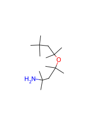 CC(C)(C)CC(C)(C)OC(C)(C)CC(C)(C)N